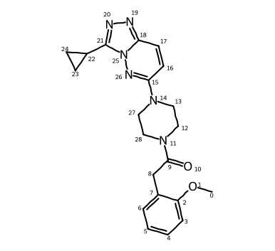 COc1ccccc1CC(=O)N1CCN(c2ccc3nnc(C4CC4)n3n2)CC1